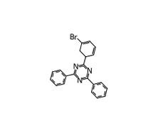 BrC1=CC=CC(c2nc(-c3ccccc3)nc(-c3ccccc3)n2)C1